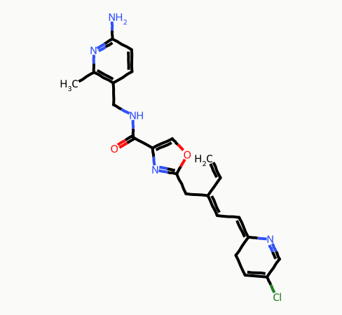 C=C/C(=C\C=C1/CC=C(Cl)C=N1)Cc1nc(C(=O)NCc2ccc(N)nc2C)co1